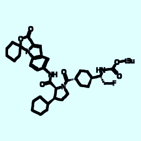 CC(C)(C)OC(=O)N[C@H](CF)[C@H]1CC[C@H](C(=O)N2CC[C@@H](C3CCCCC3)[C@H]2C(=O)Nc2ccc3c(c2)cc2n3C3(CCCCC3)OC2=O)CC1